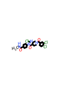 CNC(=O)c1ccc(-n2c(Cl)nc3c(c2=O)CCN(C(=O)c2ccc(Cl)c(Cl)c2)C3)cc1